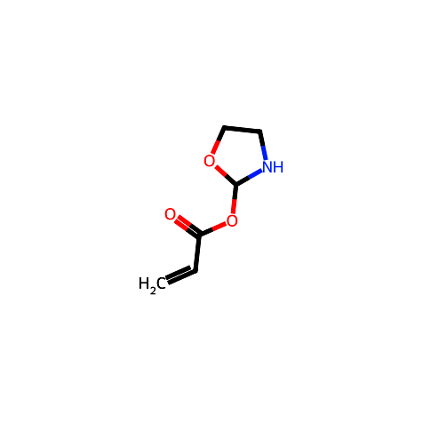 C=CC(=O)OC1NCCO1